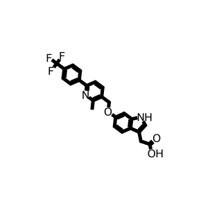 Cc1nc(-c2ccc(C(F)(F)F)cc2)ccc1COc1ccc2c(CC(=O)O)c[nH]c2c1